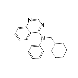 c1ccc(N(CC2CCCCC2)c2ncnc3ccccc23)cc1